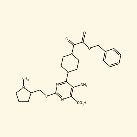 CN1CCCC1COc1nc(C(=O)O)c(N)c(N2CCN(C(=O)C(=O)OCc3ccccc3)CC2)n1